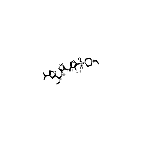 CC[C@@H](Nc1nsnc1Nc1csc(S(=O)(=O)N2CCN(CC)CC2)c1O)c1cc(C(C)C)co1